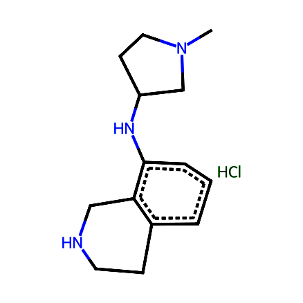 CN1CCC(Nc2cccc3c2CNCC3)C1.Cl